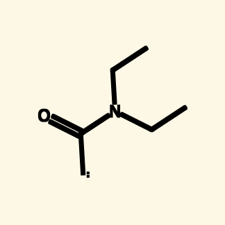 [CH]C(=O)N(CC)CC